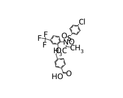 CC(C)N(c1ccc(C(F)(F)F)cc1OCc1ccc(C(=O)O)cc1)S(=O)(=O)c1ccc(Cl)cc1